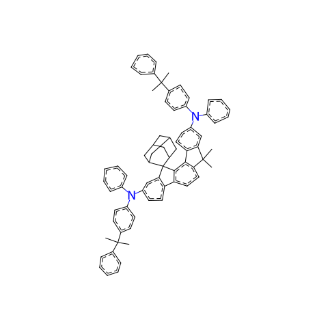 CC(C)(c1ccccc1)c1ccc(N(c2ccccc2)c2ccc3c(c2)C(C)(C)c2ccc4c(c2-3)C2(c3cc(N(c5ccccc5)c5ccc(C(C)(C)c6ccccc6)cc5)ccc3-4)C3CC4CC(C3)CC2C4)cc1